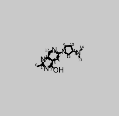 Cc1nc(O)c2cc(N3CC[C@@H](N(C)C)C3)ncc2n1